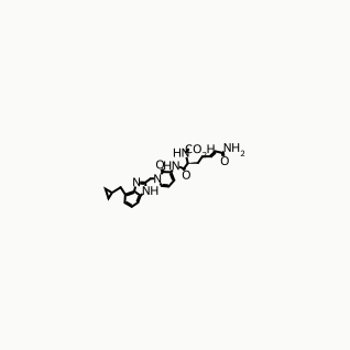 NC(=O)/C=C/CC[C@H](NC(=O)O)C(=O)Nc1cccn(Cc2nc3c(CC4CC4)cccc3[nH]2)c1=O